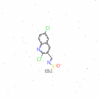 CC(C)(C)[S@+]([O-])N=Cc1cc2cc(Cl)ccc2nc1Cl